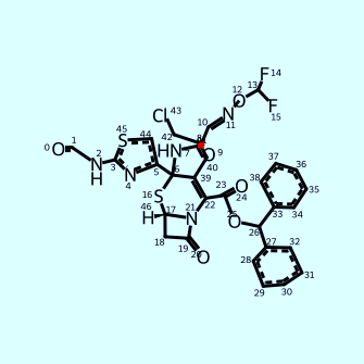 O=CNc1nc(C2(NC(=O)C=NOC(F)F)S[C@H]3CC(=O)N3C(C(=O)OC(c3ccccc3)c3ccccc3)=C2/C=C\CCl)cs1